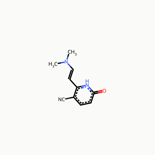 CN(C)C=Cc1[nH]c(=O)ccc1C#N